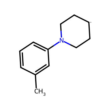 Cc1cccc(N2CC[CH]CC2)c1